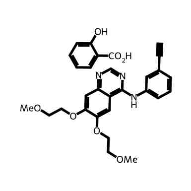 C#Cc1cccc(Nc2ncnc3cc(OCCOC)c(OCCOC)cc23)c1.O=C(O)c1ccccc1O